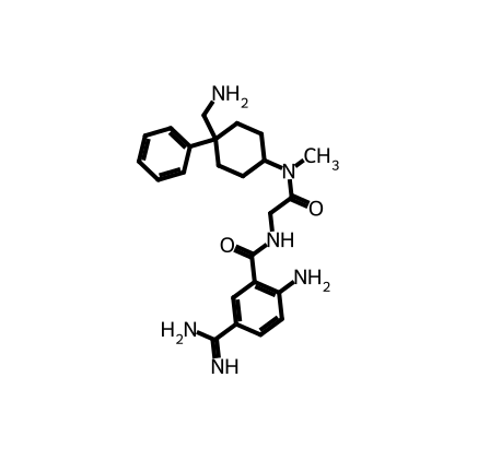 CN(C(=O)CNC(=O)c1cc(C(=N)N)ccc1N)C1CCC(CN)(c2ccccc2)CC1